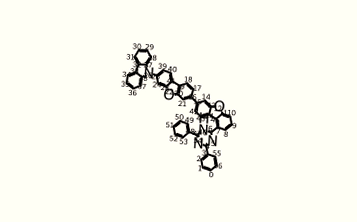 c1ccc(C2=NC(c3cccc4oc5cc(-c6ccc7c(c6)oc6cc(-n8c9ccccc9c9ccccc98)ccc67)ccc5c34)NC(c3ccccc3)=N2)cc1